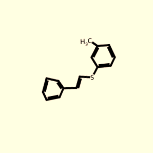 Cc1cccc(SC=Cc2ccccc2)c1